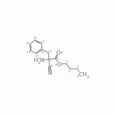 CCCCOC(=O)C(N)(C#N)Cc1ccccc1